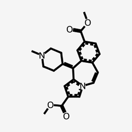 COC(=O)c1ccc2c(c1)C(=C1CCN(C)CC1)c1cc(C(=O)OC)cn1C=C2